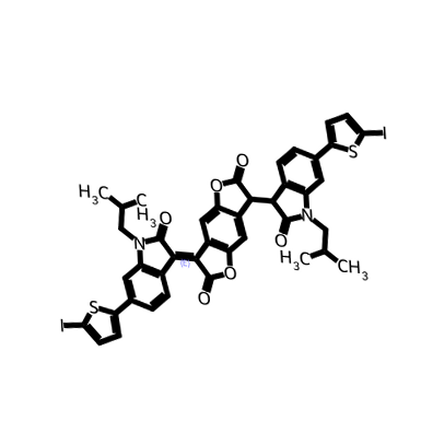 CC(C)CN1C(=O)/C(=C2/C(=O)Oc3cc4c(cc32)OC(=O)C4C2C(=O)N(CC(C)C)c3cc(-c4ccc(I)s4)ccc32)c2ccc(-c3ccc(I)s3)cc21